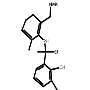 CCC(C)(PC1=C(CNC)CCC=C1C)c1cccc(C)c1O